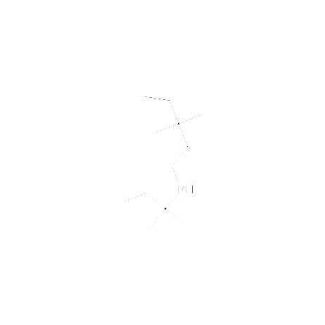 CCC(C)(C)BCCC(C)(C)CC